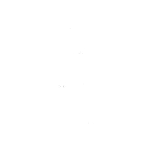 CC(C)CC(C)(C)C(=O)OC1C2CC3CC(C2)C(=O)OC1C3